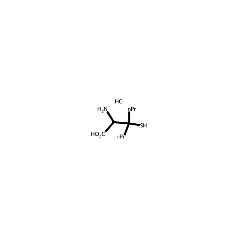 CCCC(S)(CCC)C(N)C(=O)O.Cl